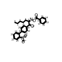 CCCCC/C(=N/OC(=O)c1ccccc1)C(=O)c1ccc(-c2ccccc2[N+](=O)[O-])cc1